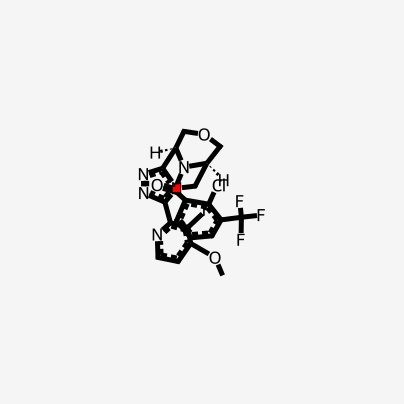 COc1ccnc(-c2nnc3n2C[C@@H]2COC[C@H]3N2C(=O)c2cccc(C(F)(F)F)c2Cl)c1F